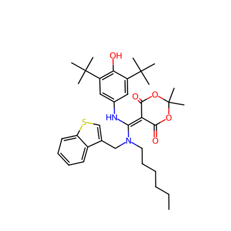 CCCCCCN(Cc1csc2ccccc12)C(Nc1cc(C(C)(C)C)c(O)c(C(C)(C)C)c1)=C1C(=O)OC(C)(C)OC1=O